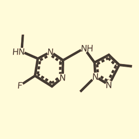 CNc1nc(Nc2cc(C)nn2C)ncc1F